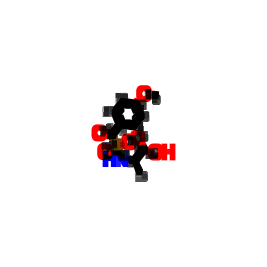 COc1ccc(C(=O)S(=O)(=O)N[C@H](C)C(=O)O)cc1